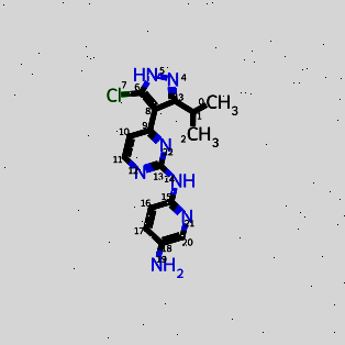 CC(C)c1n[nH]c(Cl)c1-c1ccnc(Nc2ccc(N)cn2)n1